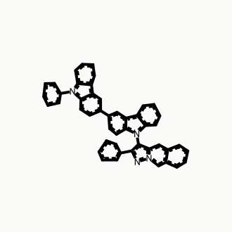 c1ccc(-c2nn3cc4ccccc4cc3c2-n2c3ccccc3c3cc(-c4ccc5c(c4)c4ccccc4n5-c4ccccc4)ccc32)cc1